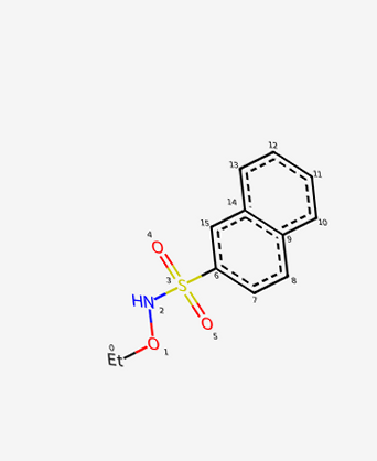 CCONS(=O)(=O)c1ccc2ccccc2c1